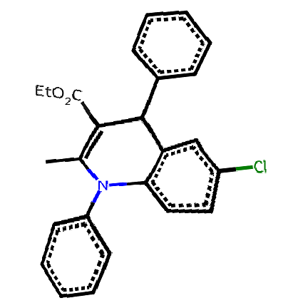 CCOC(=O)C1=C(C)N(c2ccccc2)c2ccc(Cl)cc2C1c1ccccc1